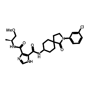 COC[C@H](C)NC(=O)c1nc[nH]c1C(=O)NC1CCC2(CC1)CCN(c1cccc(Cl)c1)C2=O